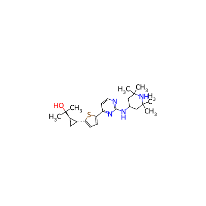 CC1(C)CC(Nc2nccc(-c3ccc([C@@H]4C[C@H]4C(C)(C)O)s3)n2)CC(C)(C)N1